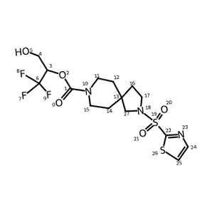 O=C(OC(CO)C(F)(F)F)N1CCC2(CC1)CCN(S(=O)(=O)c1nccs1)C2